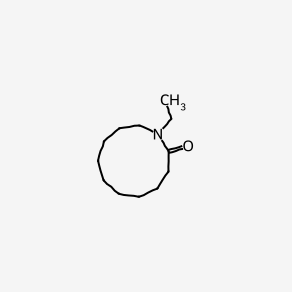 CCN1CCCCCCCCCC1=O